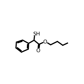 CCCCOC(=O)C(S)c1ccccc1